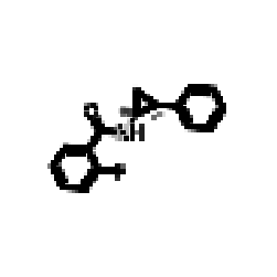 O=C(N[C@@H]1C[C@H]1c1ccccc1)c1ccccc1F